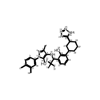 Cc1ccc(-n2nc(C)c(NC(c3cccc(C4CCCC(c5nnn[nH]5)C4)c3O)C(C)(F)F)c2O)cc1C